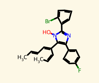 CC=C/C=C(\C=C/C)c1c(-c2ccc(F)cc2)nc(-c2ccccc2Br)n1O